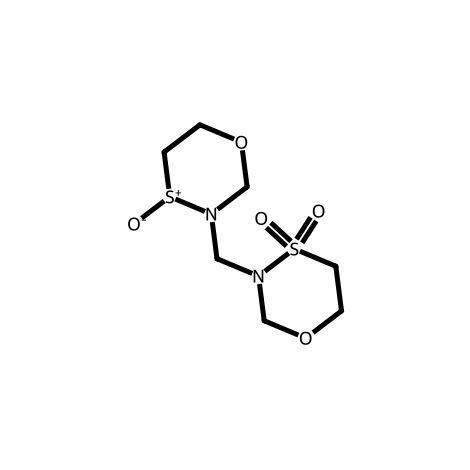 O=S1(=O)CCOCN1CN1COCC[S+]1[O-]